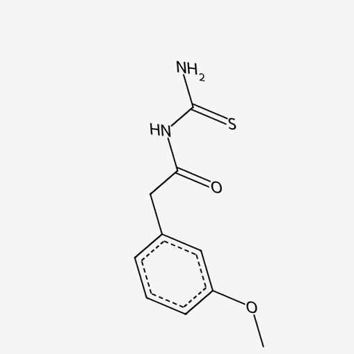 COc1cccc(CC(=O)NC(N)=S)c1